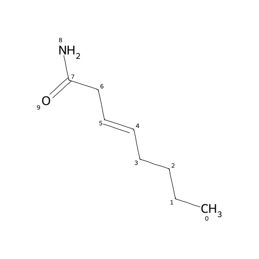 CCCCC=CCC(N)=O